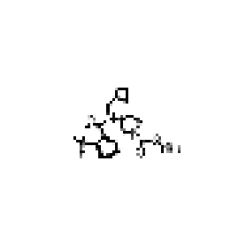 CC(C)(C)OC(=O)N1CC[C@H](N(CC2CCC2)C(=O)c2ccccc2C(C)(F)F)C1